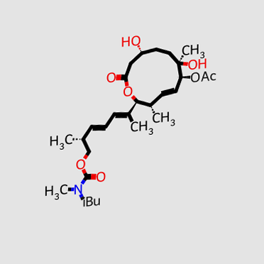 CCC(C)N(C)C(=O)OC[C@H](C)/C=C/C=C(\C)[C@H]1OC(=O)C[C@H](O)CC[C@@](C)(O)[C@@H](OC(C)=O)/C=C/[C@@H]1C